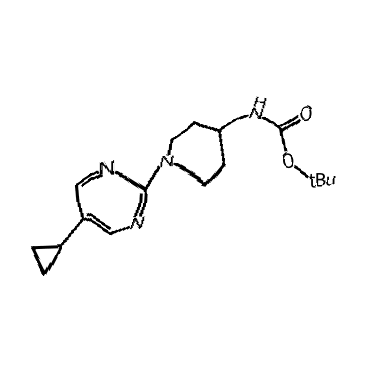 CC(C)(C)OC(=O)NC1CCN(c2ncc(C3CC3)cn2)CC1